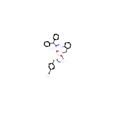 N#Cc1ccc(C(S)[C@@H]2CNC[C@@H](CCc3ccccc3NC(=O)[C@@H](NC(=O)O)C(c3ccccc3)c3ccccc3)O2)cc1